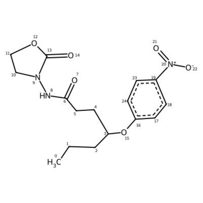 CCCC(CCC(=O)NN1CCOC1=O)Oc1ccc([N+](=O)[O-])cc1